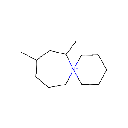 CC1CCC[N+]2(CCCCC2)C(C)C1